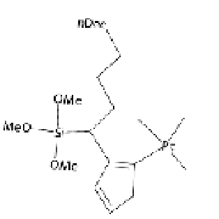 CCCCCCCCCCCCCC(C1=[C]([Pt]([CH3])([CH3])[CH3])CC=C1)[Si](OC)(OC)OC